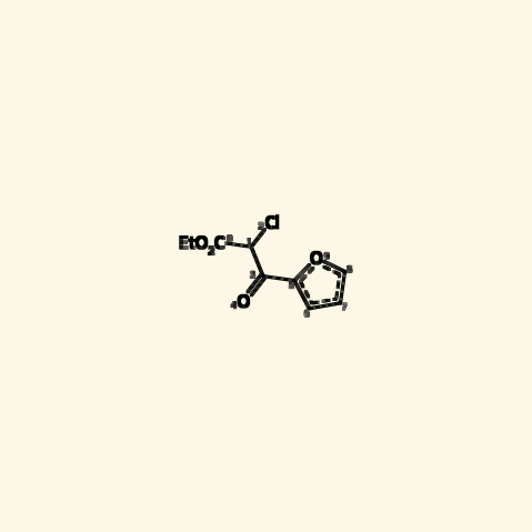 CCOC(=O)C(Cl)C(=O)c1ccco1